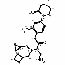 NC[C@H](C(=O)Nc1ccc(N2CCOCC2=O)cc1C(F)(F)F)N(CC1CCC1)CC1CC1